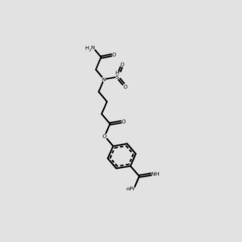 CCCC(=N)c1ccc(OC(=O)CCCN(CC(N)=O)[SH](=O)=O)cc1